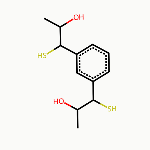 CC(O)C(S)c1cccc(C(S)C(C)O)c1